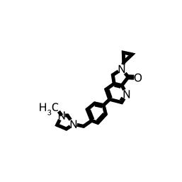 CN1CCN(Cc2ccc(-c3cnc4c(c3)CN(C3CC3)C4=O)cc2)C1